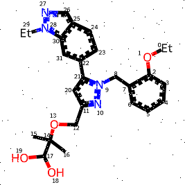 CCOc1ccccc1Cn1nc(COC(C)(C)C(O)O)cc1-c1ccc2cnn(CC)c2c1